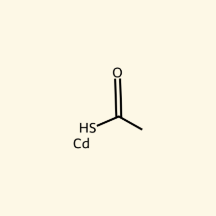 CC(=O)S.[Cd]